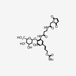 CC(C)(C)C(=O)OC/C=C/c1ccc(O[C@@H]2O[C@H](C(=O)O)[C@@H](O)[C@H](O)[C@H]2O)c(NC(=O)CCNC(=O)CN2C(=O)C=CC2=O)c1